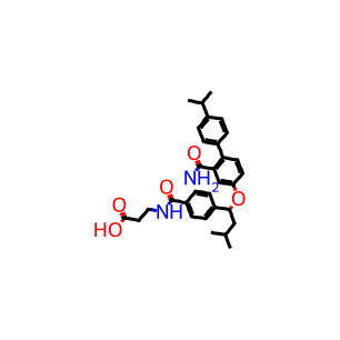 CC(C)CC(Oc1ccc(-c2ccc(C(C)C)cc2)c(C(N)=O)c1)c1ccc(C(=O)NCCC(=O)O)cc1